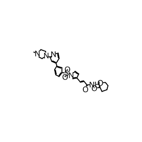 CN1CCN(c2cc(-c3cccc(S(=O)(=O)n4ccc(/C=C/C(=O)NOC5CCCCO5)c4)c3)ccn2)CC1